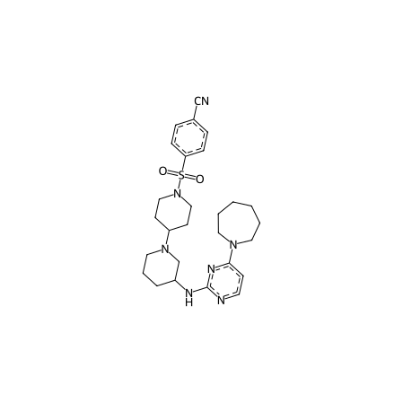 N#Cc1ccc(S(=O)(=O)N2CCC(N3CCCC(Nc4nccc(N5CCCCCC5)n4)C3)CC2)cc1